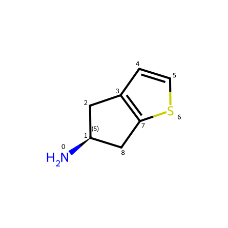 N[C@H]1Cc2ccsc2C1